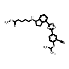 COC(=O)CCCCNC1CCc2c(-c3noc(-c4ccc(OC(C)C)c(C#N)c4)n3)cccc21